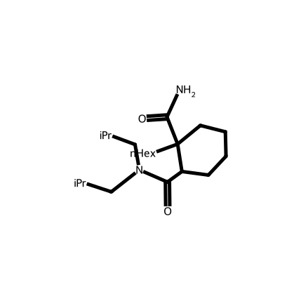 CCCCCCC1(C(N)=O)CCCCC1C(=O)N(CC(C)C)CC(C)C